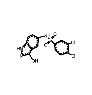 O=S(=O)(Nc1ccc2[nH]nc(O)c2c1)c1ccc(Cl)c(Cl)c1